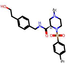 CC(=O)N1CCN(S(=O)(=O)c2ccc(C(C)C)cc2)[C@@H](C(=O)NCc2ccc(CCO)cc2)C1